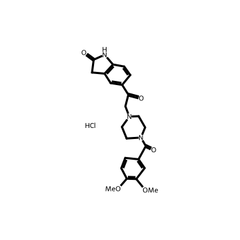 COc1ccc(C(=O)N2CCN(CC(=O)c3ccc4c(c3)CC(=O)N4)CC2)cc1OC.Cl